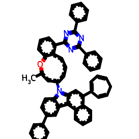 Cc1cc(-n2c3ccc(-c4ccccc4)cc3c3c4ccccc4c(C4=CC=CCC=C4)cc32)cccc2c(-c3nc(-c4ccccc4)nc(-c4ccccc4)n3)cccc2o1